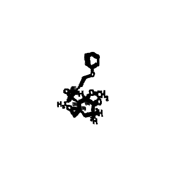 [2H]C1([2H])C[C@]2(CO2)[C@@H](C2(C)O[C@@H]2CCOc2ccccc2)[C@]([2H])(OC)C1=O